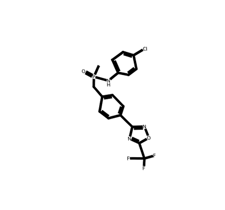 CP(=O)(Cc1ccc(-c2noc(C(F)(F)F)n2)cc1)Nc1ccc(Cl)cc1